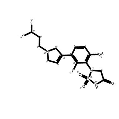 O=C1CN(c2c(O)ccc(C3=CCN(CCC(F)F)C3)c2F)S(=O)(=O)N1